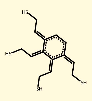 SCC=c1ccc(=CCS)c(=CCS)c1=CCS